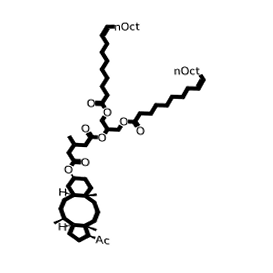 CCCCCCCC/C=C\CCCCCCCC(=O)OCC(COC(=O)CCCCCCC/C=C\CCCCCCCC)OC(=O)CC(C)CC(=O)O[C@@H]1CC[C@]2(C)CCC[C@]3(C)[C@@H](C(C)=O)CC[C@H]3[C@@H](C)CC[C@H]2C1